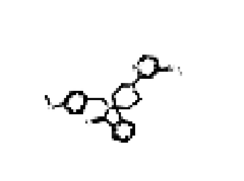 COc1ccc(CN2C(=O)c3ccccc3C23CCN(c2cc(N)ccn2)CC3)cc1